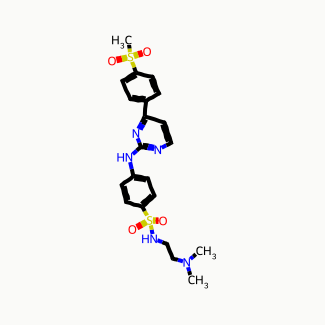 CN(C)CCNS(=O)(=O)c1ccc(Nc2nccc(-c3ccc(S(C)(=O)=O)cc3)n2)cc1